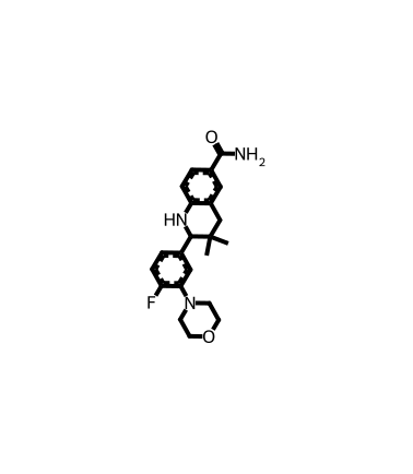 CC1(C)Cc2cc(C(N)=O)ccc2NC1c1ccc(F)c(N2CCOCC2)c1